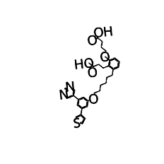 O=C(O)CCCOc1cccc(CCCCCCOc2cc(-c3cncnc3)cc(-c3ccsc3)c2)c1CCC(=O)O